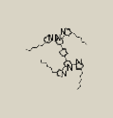 CCCCCCc1ccnc(-c2cc(-c3ccc(-c4cc(-c5cc(CCCCCC)ccn5)nc(-c5cc(CCCCCC)ccn5)c4)cc3)cc(-c3cc(CCCCCC)ccn3)n2)c1